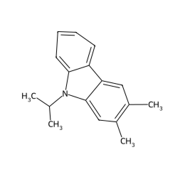 Cc1cc2c3ccccc3n(C(C)C)c2cc1C